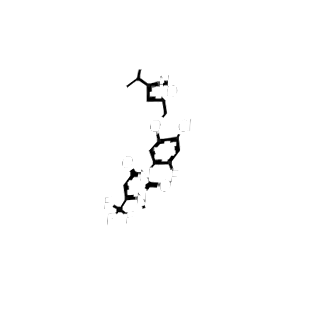 CC(C)c1cc(COc2cc(-n3c(=O)cc(C(F)(F)F)n(C)c3=O)c(F)cc2Cl)on1